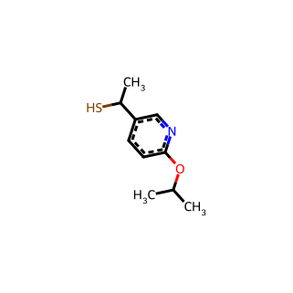 CC(C)Oc1ccc(C(C)S)cn1